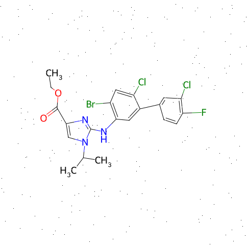 CCOC(=O)c1cn(C(C)C)c(Nc2cc(-c3ccc(F)c(Cl)c3)c(Cl)cc2Br)n1